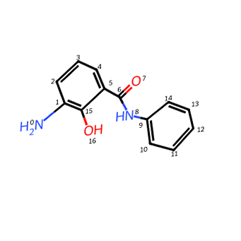 Nc1cccc(C(=O)Nc2ccccc2)c1O